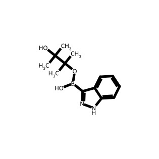 CC(C)(O)C(C)(C)OB(O)c1n[nH]c2ccccc12